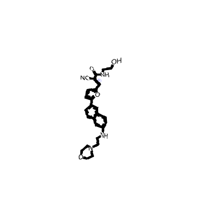 N#C/C(=C\c1ccc(-c2ccc3cc(NCCN4CCOCC4)ccc3c2)o1)C(=O)NCCO